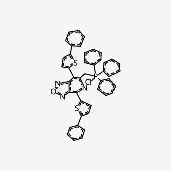 ClP(Cc1nc(-c2ccc(-c3ccccc3)s2)c2nonc2c1-c1ccc(-c2ccccc2)s1)(c1ccccc1)(c1ccccc1)c1ccccc1